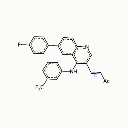 CC(=O)/C=C/c1cnc2ccc(-c3ccc(F)cc3)cc2c1Nc1cccc(C(F)(F)F)c1